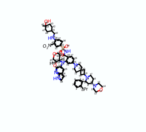 CC(C)c1ccccc1[C@@H]1C[C@@H](N2CCOCC2)CCN1C1CC2(CCN(c3ccc(C(=O)NS(=O)(=O)c4ccc(NCC5CCC(C)(O)CC5)c([N+](=O)[O-])c4)c(N4c5cc6cc[nH]c6nc5O[C@H]5COCC[C@@H]54)c3)CC2)C1